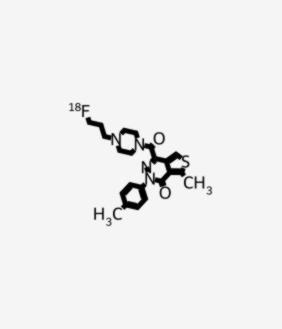 Cc1ccc(-n2nc(C(=O)N3CCN(CCC[18F])CC3)c3csc(C)c3c2=O)cc1